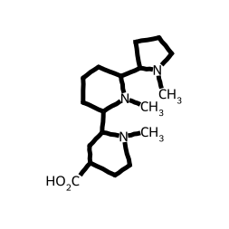 CN1CCCC1C1CCCC(C2CC(C(=O)O)CCN2C)N1C